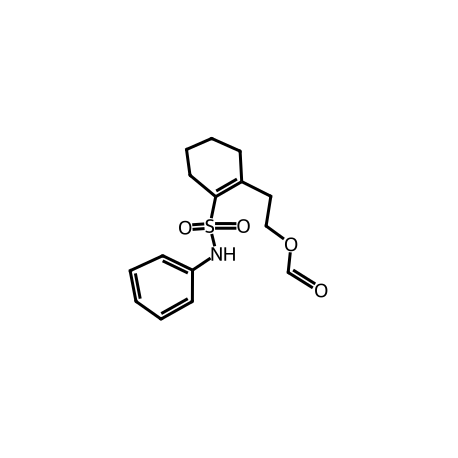 O=COCCC1=C(S(=O)(=O)Nc2ccccc2)CCCC1